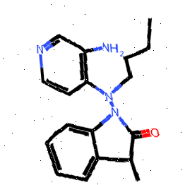 CCCCN(c1ccncc1N)N1C(=O)C(C)c2ccccc21